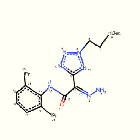 CCCCCCCCCCCCn1nnc(/C(=N\N)C(=O)Nc2c(C(C)C)cccc2C(C)C)n1